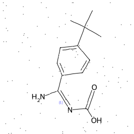 CC(C)(C)c1ccc(/C(N)=N\C(=O)O)cc1